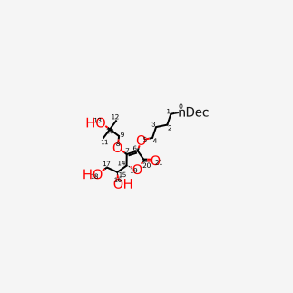 CCCCCCCCCCCCCCOC1=C(OCC(C)(C)O)[C@@H]([C@@H](O)CO)OC1=O